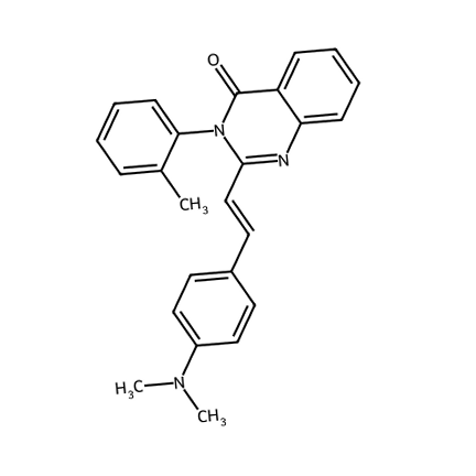 Cc1ccccc1-n1c(C=Cc2ccc(N(C)C)cc2)nc2ccccc2c1=O